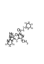 Cc1nn(C(=O)CCc2ccccc2)c(C)c1Cc1c[nH]c2ncccc12